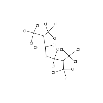 ClC(Cl)(Cl)C(C(Cl)(Cl)Cl)C(Cl)(Cl)OC(Cl)(Cl)C(C(Cl)(Cl)Cl)C(Cl)(Cl)Cl